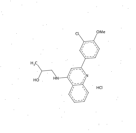 COc1ccc(-c2cc(NCC(C)O)c3ccccc3n2)cc1Cl.Cl